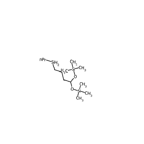 CCC[SiH2]CCCC(O[Si](C)(C)C)O[Si](C)(C)C